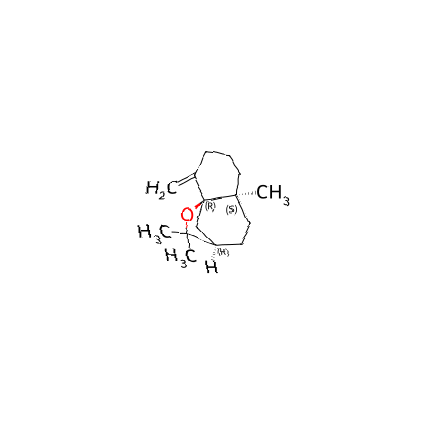 C=C1CCC[C@@]2(C)CC[C@@H]3C[C@]12OC3(C)C